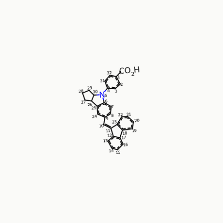 O=C(O)c1ccc(N2c3ccc(C=C4c5ccccc5-c5ccccc54)cc3C3CCCC32)cc1